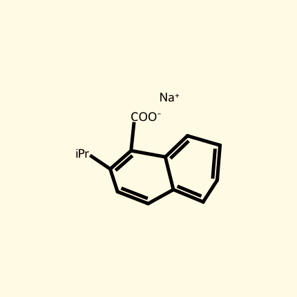 CC(C)c1ccc2ccccc2c1C(=O)[O-].[Na+]